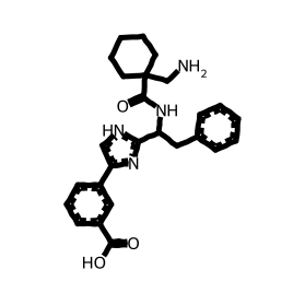 NCC1(C(=O)NC(Cc2ccccc2)c2nc(-c3cccc(C(=O)O)c3)c[nH]2)CCCCC1